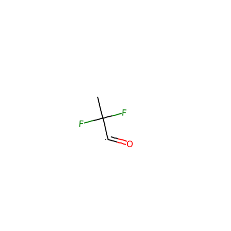 CC(F)(F)[C]=O